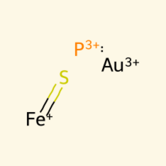 [Au+3].[P+3].[S]=[Fe+]